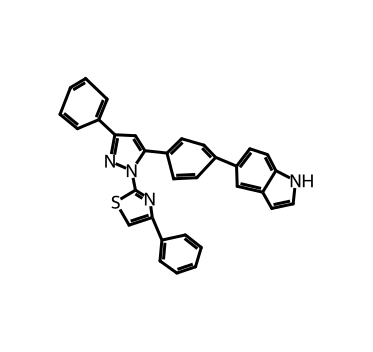 c1ccc(-c2csc(-n3nc(-c4ccccc4)cc3-c3ccc(-c4ccc5[nH]ccc5c4)cc3)n2)cc1